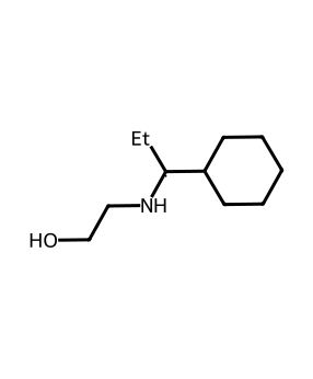 CC[C](NCCO)C1CCCCC1